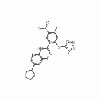 Cc1cc(Sc2nnnn2C)c(C(=O)Nc2ncc(C3CCCC3)cc2F)cc1[N+](=O)[O-]